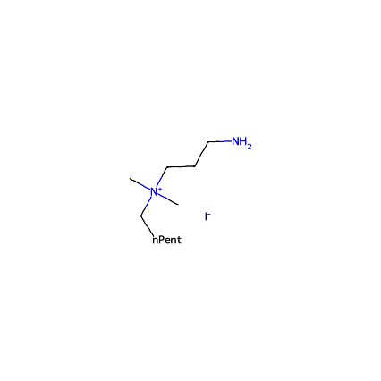 CCCCCC[N+](C)(C)CCCN.[I-]